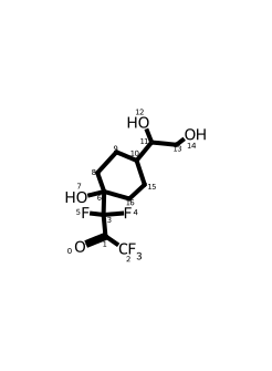 O=C(C(F)(F)F)C(F)(F)C1(O)CCC(C(O)CO)CC1